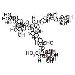 CC[C@H](C)[C@H](C[C@H](O)CC(=O)O[C@@H]1[C@H](O)[C@@H](OC[C@@H]2O[C@@H](C)[C@H](O[C@@H]3OC[C@@H](O)[C@H](O[C@@H]4OC[C@@H](O)[C@H](O)[C@H]4O)[C@H]3O)[C@@H](O[C@@H]3O[C@H](CO)[C@@H](O)[C@H](O)[C@H]3O)[C@H]2O)[C@H](OC(=O)[C@]23CCC(C)(C)C[C@H]2C2=CC[C@@H]4[C@@]5(C)CC[C@H](O[C@@H]6O[C@H](C(=O)O)[C@@H](O)[C@H](O[C@@H]7OC[C@@H](O)[C@H](O)[C@H]7O)[C@H]6O[C@@H]6O[C@H](CO)[C@H](O)[C@H](O)[C@H]6O)[C@@](C)(C=O)[C@@H]5CC[C@@]4(C)[C@]2(C)C[C@H]3O)O[C@@H]1C)OC(=O)C[C@@H](O)C[C@H](O[C@@H]1O[C@@H](CO)[C@H](O)[C@H]1O)[C@@H](C)CC